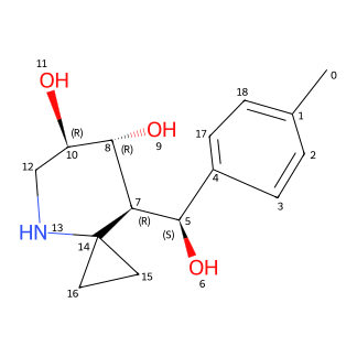 Cc1ccc([C@@H](O)[C@@H]2[C@@H](O)[C@H](O)CNC23CC3)cc1